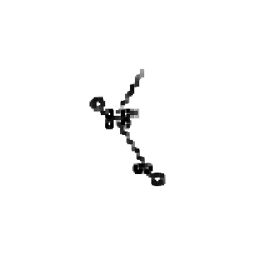 CCCCCCCCCCC[C@@](CC=CCCCCCCCC(=O)OCc1ccccc1)(C(=O)O)C(=O)OCc1ccccc1